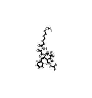 CCCCCCCC(=O)NC(=O)c1nc(-c2ccccc2)c(-c2cn(CC(F)F)nc2C(F)(F)F)n1C